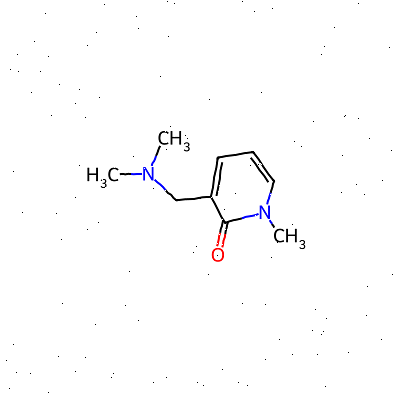 CN(C)Cc1cccn(C)c1=O